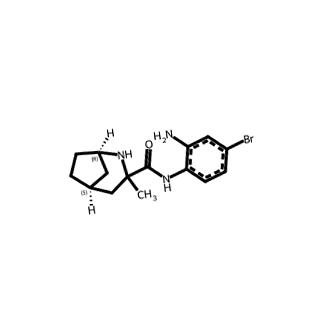 CC1(C(=O)Nc2ccc(Br)cc2N)C[C@H]2CC[C@H](C2)N1